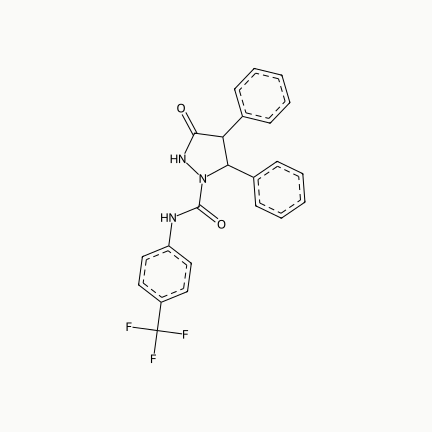 O=C1NN(C(=O)Nc2ccc(C(F)(F)F)cc2)C(c2ccccc2)C1c1ccccc1